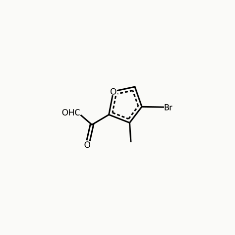 Cc1c(Br)coc1C(=O)C=O